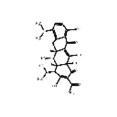 CN(C)c1ccc(O)c2c1C[C@@H]1C(=C(O)[C@]3(O)C(=O)C(C(N)=O)=C(O)[C@@H](N(C)C)[C@@H]3[C@H]1O)C2=O